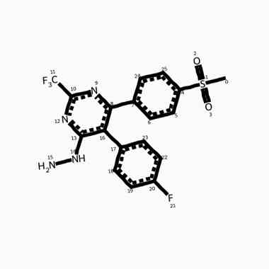 CS(=O)(=O)c1ccc(-c2nc(C(F)(F)F)nc(NN)c2-c2ccc(F)cc2)cc1